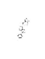 Cn1nccc1C(=O)NC1COCc2c1cnn2-c1ccc(C(F)(F)F)cc1